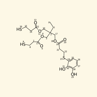 CCC(COC(=O)CCS)(COC(=O)CCS)COC(=O)CCSc1cccc(O)c1O